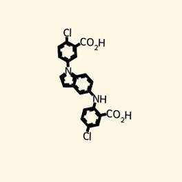 O=C(O)c1cc(-n2ccc3cc(Nc4ccc(Cl)cc4C(=O)O)ccc32)ccc1Cl